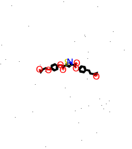 O=C(Oc1ccc(CCC2CO2)cc1)c1cc(C(=O)Oc2ccc(OCC3CO3)cc2)sn1